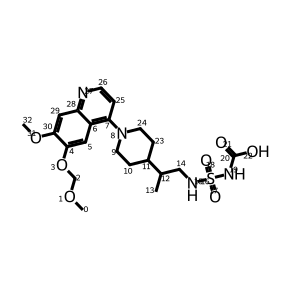 COCOc1cc2c(N3CCC(C(C)CNS(=O)(=O)NC(=O)O)CC3)ccnc2cc1OC